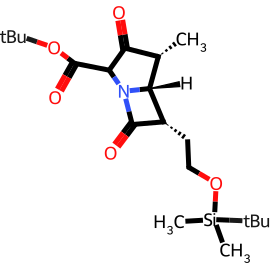 C[C@H]1C(=O)C(C(=O)OC(C)(C)C)N2C(=O)[C@@H](CCO[Si](C)(C)C(C)(C)C)[C@@H]12